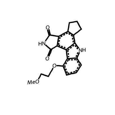 COCCOc1cccc2[nH]c3c4c(c5c(c3c12)C(=O)NC5=O)CCC4